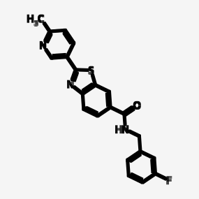 Cc1ccc(-c2nc3ccc(C(=O)NCc4cccc(F)c4)cc3s2)cn1